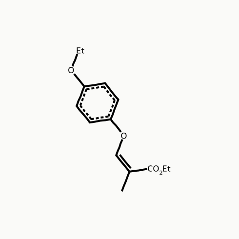 CCOC(=O)/C(C)=C\Oc1ccc(OCC)cc1